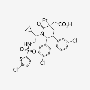 CCC1(CC(=O)O)CC(c2cccc(Cl)c2)C(c2ccc(Cl)cc2)N([C@H](CNS(=O)(=O)c2ccc(Cl)s2)C2CC2)C1=O